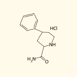 Cl.NC(=O)C1CC(c2ccccc2)CCN1